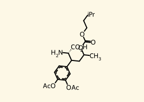 CC(=O)Oc1ccc(C(CC(C)OC(=O)OCCC(C)C)[C@H](N)C(=O)O)cc1OC(C)=O